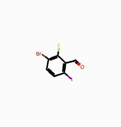 O=[C]c1c(I)ccc(Br)c1F